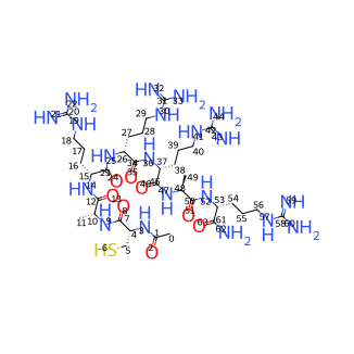 CC(=O)N[C@H](CS)C(=O)N[C@H](C)C(=O)N[C@H](CCCNC(=N)N)C(=O)N[C@H](CCCNC(=N)N)C(=O)N[C@H](CCCNC(=N)N)C(=O)N[C@@H](C)C(=O)N[C@H](CCCNC(=N)N)C(N)=O